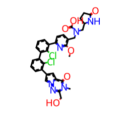 COc1nc(-c2cccc(-c3cccc(-c4cc5c(=O)n(C)c(CO)nn5c4)c3Cl)c2Cl)ccc1CN(CC1CCC(=O)N1)C(=O)O